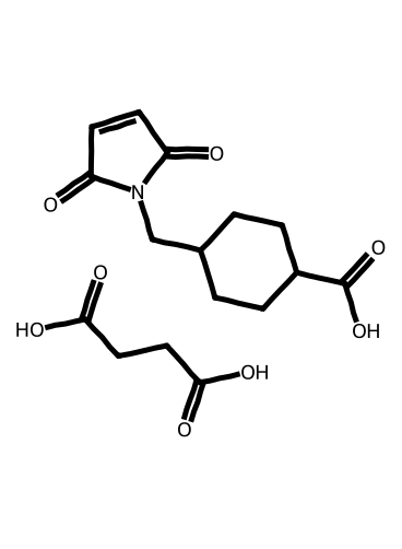 O=C(O)C1CCC(CN2C(=O)C=CC2=O)CC1.O=C(O)CCC(=O)O